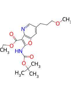 CCOC(=O)c1c(NC(=O)OC(C)(C)C)oc2cc(CCCOC)cnc12